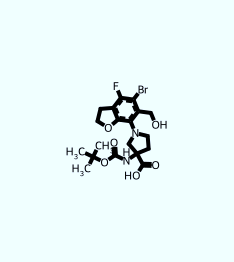 CC(C)(C)OC(=O)NC1(C(=O)O)CCN(c2c(CO)c(Br)c(F)c3c2OCC3)C1